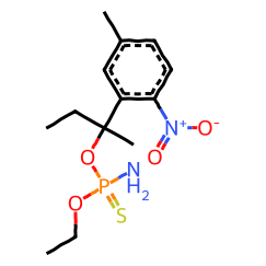 CCOP(N)(=S)OC(C)(CC)c1cc(C)ccc1[N+](=O)[O-]